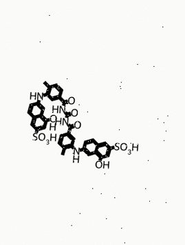 Cc1ccc(C(=O)NC(=O)NC(=O)c2ccc(C)c(Nc3ccc4cc(S(=O)(=O)O)cc(O)c4c3)c2)cc1Nc1ccc2cc(S(=O)(=O)O)cc(O)c2c1